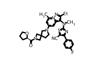 CCc1nn2c(C)cc(N3CCC4(CN(C(=O)[C@H]5CCCO5)C4)C3)cc2c1N(C)c1nc(-c2ccc(F)cc2)c(C#N)s1